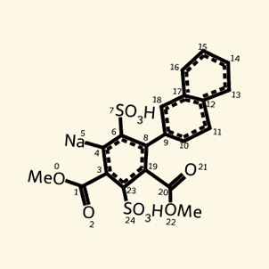 COC(=O)c1[c]([Na])c(S(=O)(=O)O)c(-c2ccc3ccccc3c2)c(C(=O)OC)c1S(=O)(=O)O